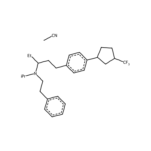 CC#N.CCC(CCc1ccc(C2CCC(C(F)(F)F)C2)cc1)N(CCc1ccccc1)C(C)C